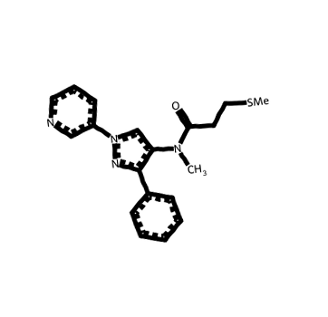 CSCCC(=O)N(C)c1cn(-c2cccnc2)nc1-c1ccccc1